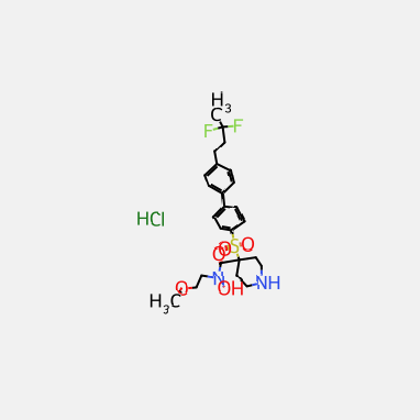 COCCN(O)C(=O)C1(S(=O)(=O)c2ccc(-c3ccc(CCC(C)(F)F)cc3)cc2)CCNCC1.Cl